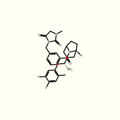 CN1CC(=O)N(Cc2cccc(C(=O)N3C4CC[C@@H]3CC([C@H](N)Cc3cc(F)c(F)cc3F)C4)c2)C1=O